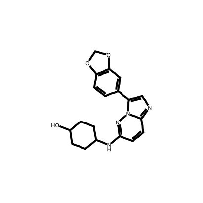 OC1CCC(Nc2ccc3ncc(-c4ccc5c(c4)OCO5)n3n2)CC1